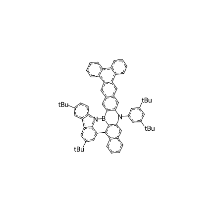 CC(C)(C)c1cc(N2c3cc4cc5c6ccccc6c6ccccc6c5cc4cc3B3c4c2cc2ccccc2c4-c2cc(C(C)(C)C)cc4c5cc(C(C)(C)C)ccc5n3c24)cc(C(C)(C)C)c1